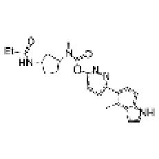 CCC(=O)N[C@H]1CC[C@@H](N(C)C(=O)Oc2ccc(-c3ccc4[nH]ccc4c3C)nn2)C1